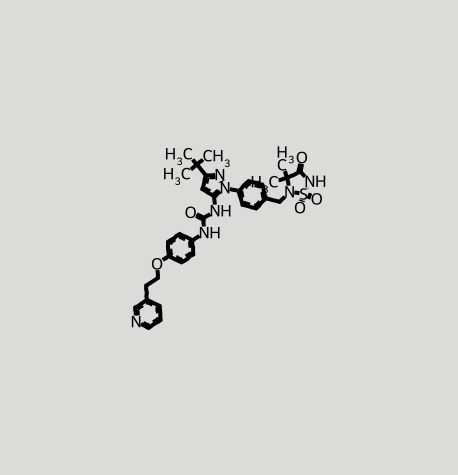 CC(C)(C)c1cc(NC(=O)Nc2ccc(OCCc3cccnc3)cc2)n(-c2ccc(CN3C(C)(C)C(=O)NS3(=O)=O)cc2)n1